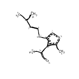 Cc1nsc(NCCC(C)C)c1C(N)=O